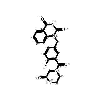 O=C1CN(C(=O)c2cc(Cn3c(=O)[nH]c(=O)c4ccccc43)ccc2F)CCN1